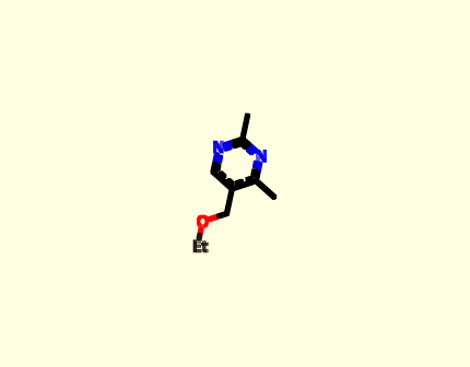 CCOCc1cnc(C)nc1C